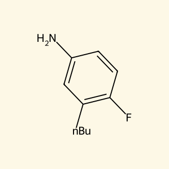 CCCCc1cc(N)ccc1F